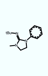 CN1CCN(c2ccccc2)C1=NC(C)(C)C